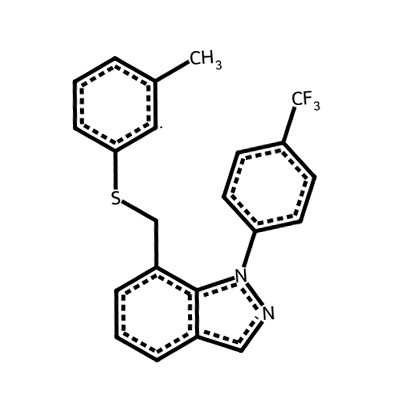 Cc1[c]c(SCc2cccc3cnn(-c4ccc(C(F)(F)F)cc4)c23)ccc1